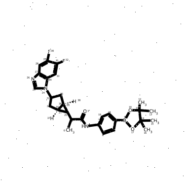 CC(C(=O)Nc1ccc(B2OC(C)(C)C(C)(C)O2)cc1)C1[C@H]2CC(n3cnc4cc(F)c(F)cc43)C[C@@H]12